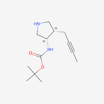 CC#CC[C@H]1CNC[C@H]1NC(=O)OC(C)(C)C